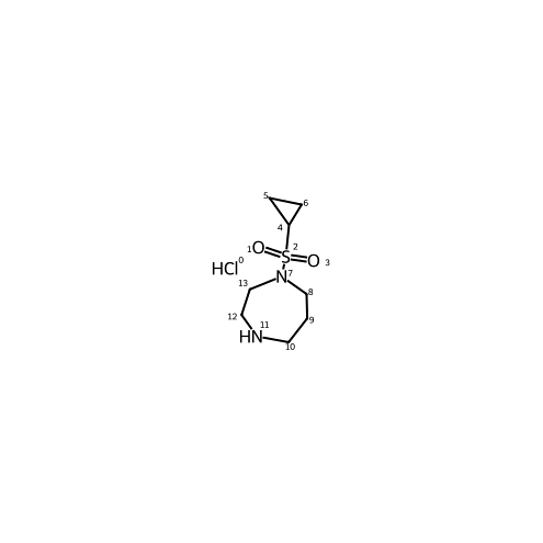 Cl.O=S(=O)(C1CC1)N1CCCNCC1